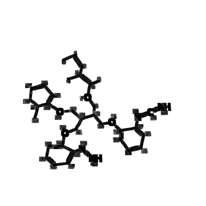 C/C=C\C(C)=C(/C)OCC(COc1ccccc1N=C=N)C(COC1=CC=CCC1C)COc1ccccc1N=N